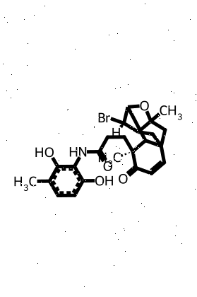 Cc1ccc(O)c(NC(=O)CC[C@]2(C)C(=O)C=CC34CC5[C@H](Br)C(OC5(C)C3)C42)c1O